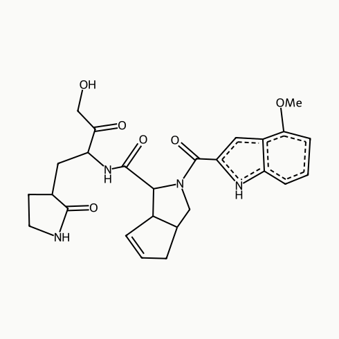 COc1cccc2[nH]c(C(=O)N3CC4CC=CC4C3C(=O)NC(CC3CCNC3=O)C(=O)CO)cc12